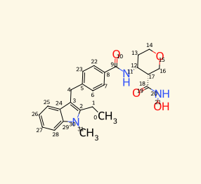 CCc1c(Cc2ccc(C(=O)N[C@@H]3CCOC[C@@H]3C(=O)NO)cc2)c2ccccc2n1C